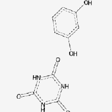 O=c1[nH]c(=O)[nH]c(=O)[nH]1.Oc1cccc(O)c1